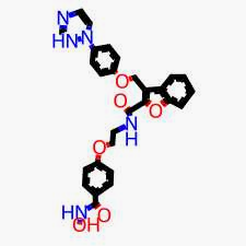 O=C(NO)c1ccc(OCCNC(=O)c2oc3ccccc3c2COc2ccc(N3C=CN=CN3)cc2)cc1